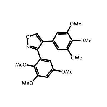 COc1cc(OC)c(OC)c(-c2nocc2-c2cc(OC)c(OC)c(OC)c2)c1